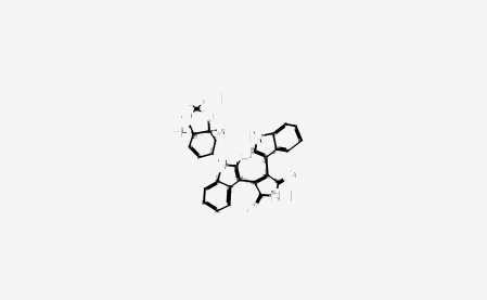 CC1(C)O[C@H]2C=C[C@@H](n3c(Cl)c(C4=C(c5c[nH]c6ccccc56)C(=O)NC4=O)c4ccccc43)C[C@H]2O1